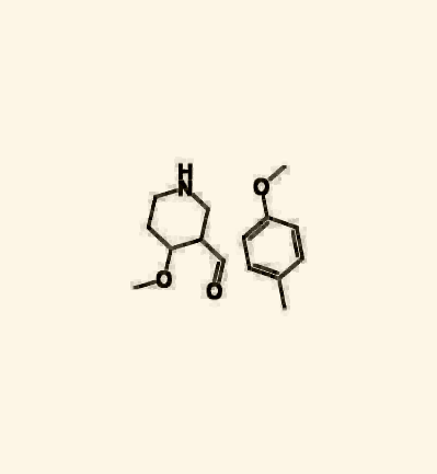 COC1CCNCC1C=O.COc1ccc(C)cc1